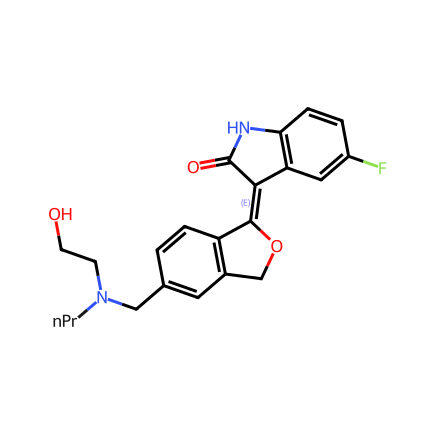 CCCN(CCO)Cc1ccc2c(c1)CO/C2=C1/C(=O)Nc2ccc(F)cc21